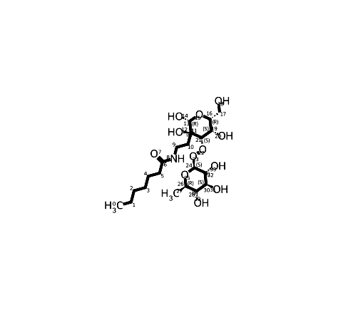 CCCCCCC(=O)NCC[C@]1(O)[C@H](O)O[C@H](CO)[C@H](O)[C@@H]1OO[C@@H]1O[C@H](C)[C@@H](O)[C@H](O)[C@H]1O